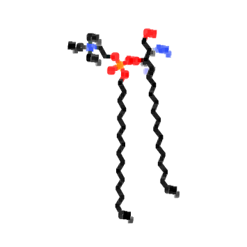 CCCCCCCCCCCCC/C=C/[C@@H](O)[C@@H](N)CO.CCCCCCCCCCCCCCCCOP(=O)([O-])OCC[N+](C)(C)C